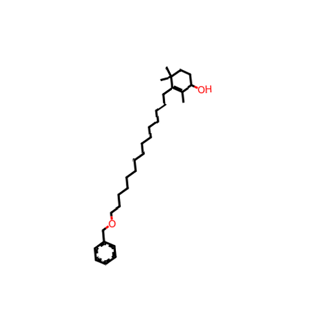 CC1=C(CCCCCCCCCCCCCCCOCc2ccccc2)C(C)(C)CCC1O